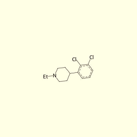 CCN1CCC(c2cccc(Cl)c2Cl)CC1